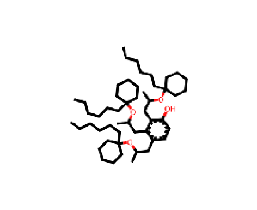 CCCCCCC1(OC(C)Cc2ccc(O)c(CC(C)OC3(CCCCCC)CCCCC3)c2CC(C)OC2(CCCCCC)CCCCC2)CCCCC1